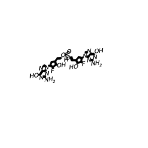 Nc1nc(O)c2ncn(C3CC(C=CO[PH](=O)OC=CC4CC(n5cnc6c(O)nc(N)nc65)C(F)C4O)C(O)C3F)c2n1